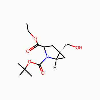 CCOC(=O)C1C[C@@]2(CO)C[C@@H]2N1C(=O)OC(C)(C)C